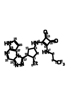 CC[C@@H]1C[C@H](Nc2c(NCCC(F)(F)F)c(=O)c2=O)C[C@@H]1c1nnc2cnc3[nH]ccc3n12